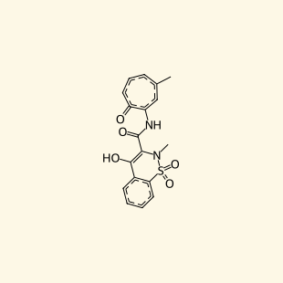 Cc1cccc(=O)c(NC(=O)C2=C(O)c3ccccc3S(=O)(=O)N2C)c1